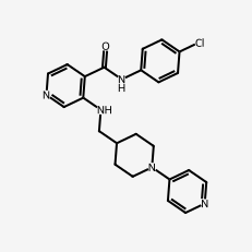 O=C(Nc1ccc(Cl)cc1)c1ccncc1NCC1CCN(c2ccncc2)CC1